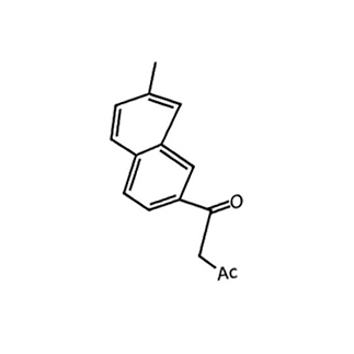 CC(=O)CC(=O)c1ccc2ccc(C)cc2c1